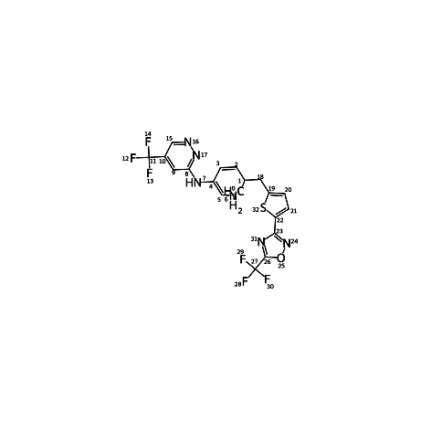 CC(/C=C\C(=C/N)Nc1cc(C(F)(F)F)cnn1)Cc1ccc(-c2noc(C(F)(F)F)n2)s1